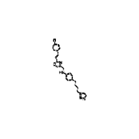 Clc1ccc(C=Cc2nc(CNc3ccc(CCCCn4ccnn4)cc3)co2)cc1